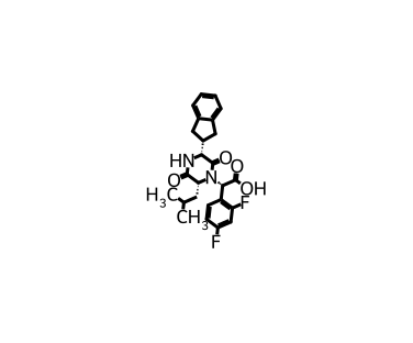 CC(C)C[C@@H]1C(=O)N[C@H](C2Cc3ccccc3C2)C(=O)N1[C@H](C(=O)O)c1ccc(F)cc1F